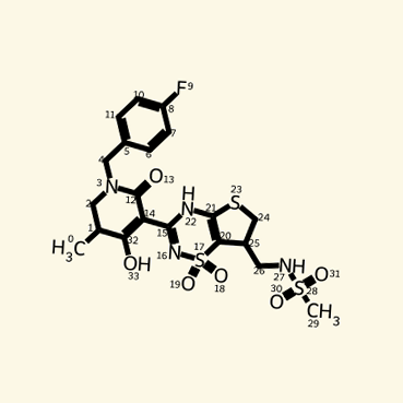 CC1CN(Cc2ccc(F)cc2)C(=O)C(C2=NS(=O)(=O)C3=C(N2)SCC3CNS(C)(=O)=O)=C1O